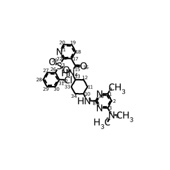 Cc1cc(N(C)C)nc(NC2CCC(NC(=O)c3cccnc3S(=O)(=O)c3ccccc3Cl)CC2)n1